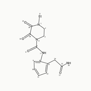 CCN1CCN(C(=O)Nc2ccccc2CC([NH])=O)C(=O)C1=O